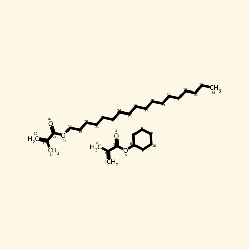 C=C(C)C(=O)OC1CCCCC1.C=C(C)C(=O)OCCCCCCCCCCCCCCCCCC